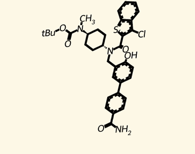 CN(C(=O)OC(C)(C)C)[C@H]1CC[C@H](N(Cc2cc(-c3ccc(C(N)=O)cc3)ccc2O)C(=O)c2sc3ccccc3c2Cl)CC1